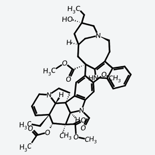 CC[C@]1(O)C[C@H]2C[N@](CCc3c([nH]c4ccccc34)[C@@](C(=O)OC)(c3cc4c(cc3OC)N(C=O)[C@H]3[C@@](C)(C(=O)OC)[C@H](OC(C)=O)[C@]5(CC)C=CCN6CC[C@]43[C@@H]65)C2)C1